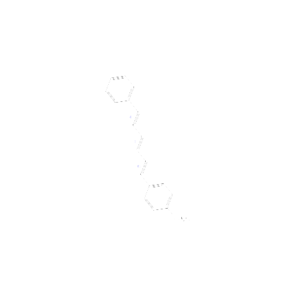 COc1ccc(/C=C/C=C/C=C/c2ccccc2)cc1